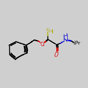 CC(C)NC(=O)C(S)OCc1ccccc1